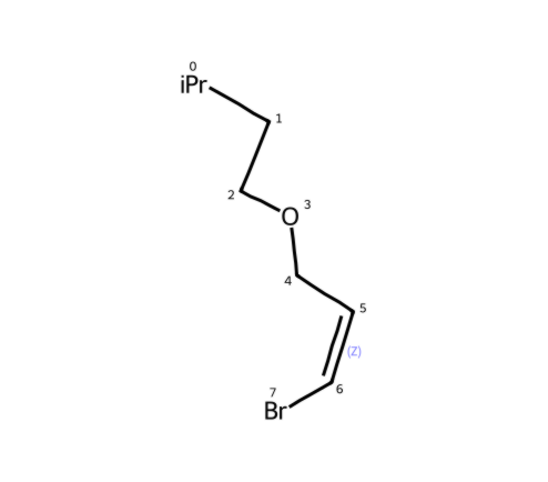 CC(C)CCOC/C=C\Br